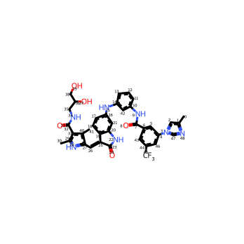 Cc1cn(-c2cc(C(=O)Nc3cccc(Nc4ccc5c(c4)NC(=O)C5=Cc4[nH]c(C)c(C(=O)NCC(O)CO)c4C)c3)cc(C(F)(F)F)c2)cn1